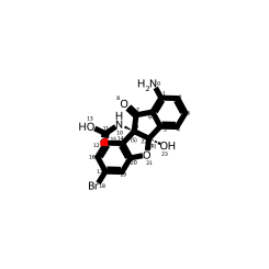 Nc1cccc2c1C(=O)[C@]1(NC(=O)O)c3ccc(Br)cc3O[C@]21O